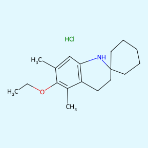 CCOc1c(C)cc2c(c1C)CCC1(CCCCC1)N2.Cl